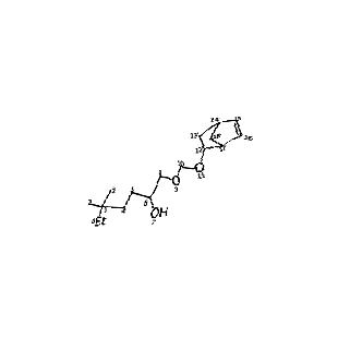 CCC(C)(C)CCC(O)COCOC1CC2C=CC1C2